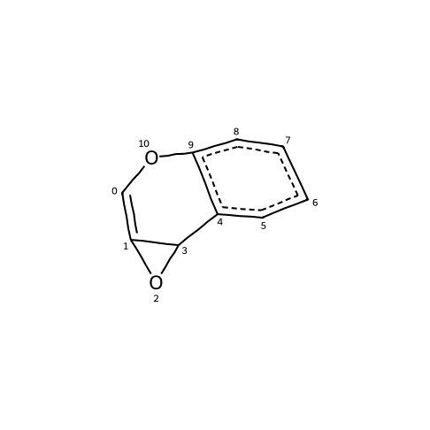 C1=C2OC2c2ccccc2O1